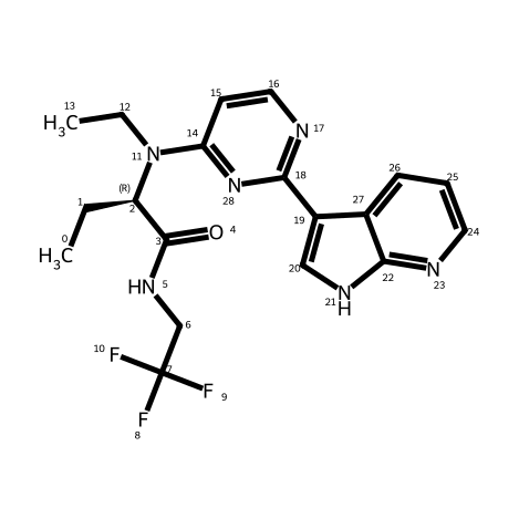 CC[C@H](C(=O)NCC(F)(F)F)N(CC)c1ccnc(-c2c[nH]c3ncccc23)n1